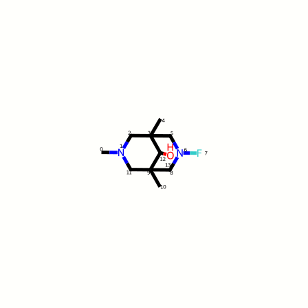 CN1CC2(C)CN(F)CC(C)(C1)C2O